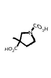 CC1(C(=O)O)CCN(C(=O)O)C1